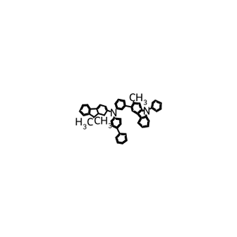 Cc1cc2c(cc1-c1cccc(N(C3=CC=C4c5ccccc5C(C)(C)C4C3)c3ccc(-c4ccccc4)cc3)c1)c1ccccc1n2-c1ccccc1